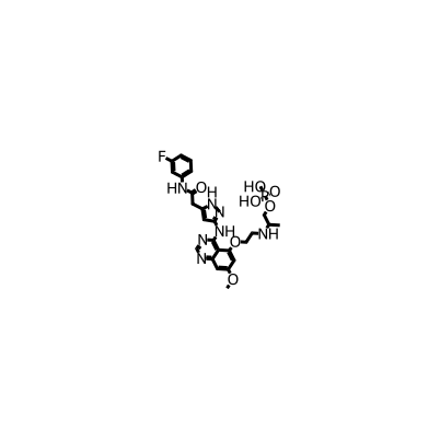 COc1cc(OCCNC(C)COP(=O)(O)O)c2c(Nc3cc(CC(=O)Nc4cccc(F)c4)[nH]n3)ncnc2c1